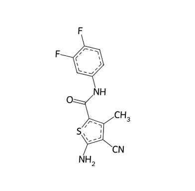 Cc1c(C(=O)Nc2ccc(F)c(F)c2)sc(N)c1C#N